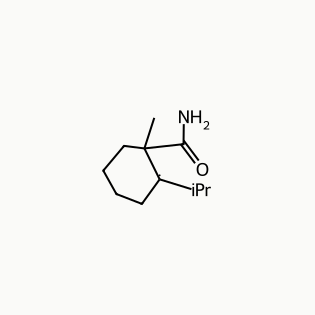 CC(C)[C]1CCCCC1(C)C(N)=O